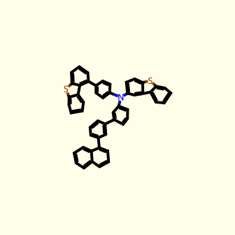 c1cc(-c2cccc(N(c3ccc(-c4cccc5sc6ccccc6c45)cc3)c3ccc4sc5ccccc5c4c3)c2)cc(-c2cccc3ccccc23)c1